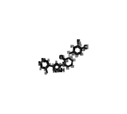 Cc1cnncc1-c1cc(N2CCC[C@@H](Cc3ccc(Cl)c(F)c3)C2=O)[nH]n1